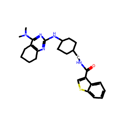 CN(C)c1nc(NC2CCC(CNC(=O)c3csc4ccccc34)CC2)nc2c1CCCC2